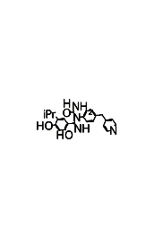 CC(C)c1cc(C(=N)N(c2ccc(Cc3ccncc3)cc2)C(N)O)c(O)cc1O